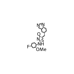 COc1cc(F)ccc1NC1=NC(=O)C(=Cc2ccc3ncncc3c2)S1